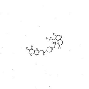 CC(O)c1c(F)cnc2ccc(=O)n(CCN3CCC(NCc4ccc5c(n4)NC(=O)CO5)CC3)c12